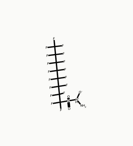 N[NH+]([O-])S(=O)(=O)C(F)(F)C(F)(F)C(F)(F)C(F)(F)C(F)(F)C(F)(F)C(F)(F)C(F)(F)F